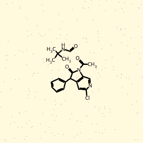 CC(=O)N1C(=O)C(c2ccccc2)c2cc(Cl)ncc21.CC(C)(C)NC=O